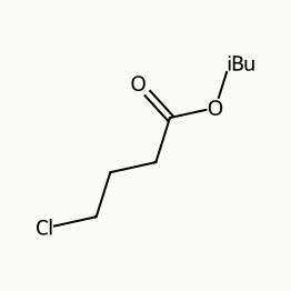 CCC(C)OC(=O)CCCCl